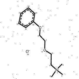 C[N+](C)(C)CCOCCOc1ccccc1.[Cl-]